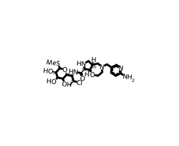 CSC1O[C@H]([C@H](NC(=O)[C@H]2NC[C@@H]3CN(Cc4ccc(N)nc4)CCO[C@H]32)[C@H](C)Cl)C(O)C(O)[C@H]1O